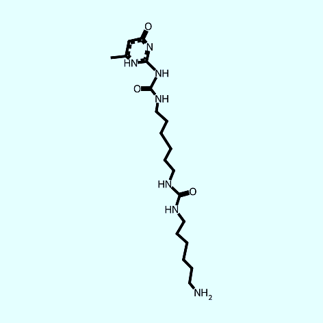 Cc1cc(=O)nc(NC(=O)NCCCCCCNC(=O)NCCCCCCN)[nH]1